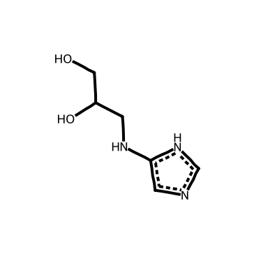 OCC(O)CNc1cnc[nH]1